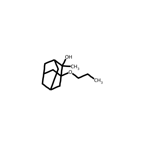 CCCOC12CC3CC(CC(C3)C1(C)O)C2